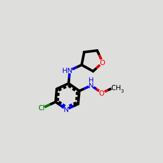 CONc1cnc(Cl)cc1NC1CCOC1